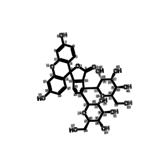 O=C1OC2(c3ccc(O)cc3Oc3cc(O)ccc32)c2ccc(C3O[C@H](CO)[C@H](O)[C@H](O)[C@H]3O)c(C3O[C@H](CO)[C@H](O)[C@H](O)[C@H]3O)c21